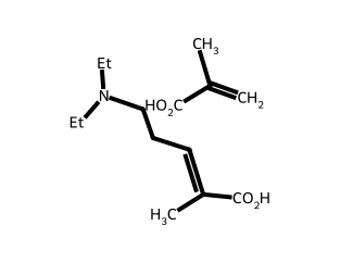 C=C(C)C(=O)O.CCN(CC)CCC=C(C)C(=O)O